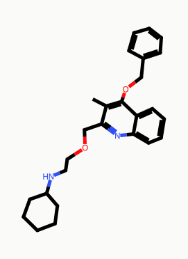 Cc1c(COCCNC2CCCCC2)nc2ccccc2c1OCc1ccccc1